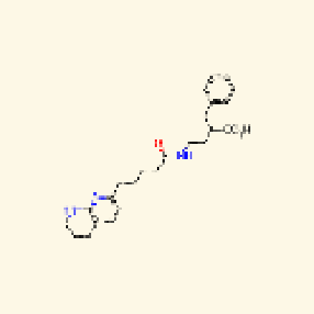 O=C(CCCCc1ccc2c(n1)NCCC2)NCCC(Cc1ccccc1)C(=O)O